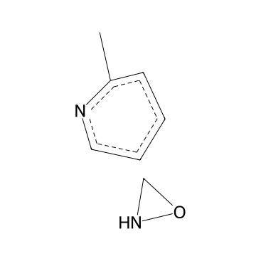 C1NO1.Cc1ccccn1